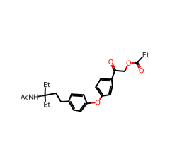 CCC(=O)OCC(=O)c1ccc(Oc2ccc(CCC(CC)(CC)NC(C)=O)cc2)cc1